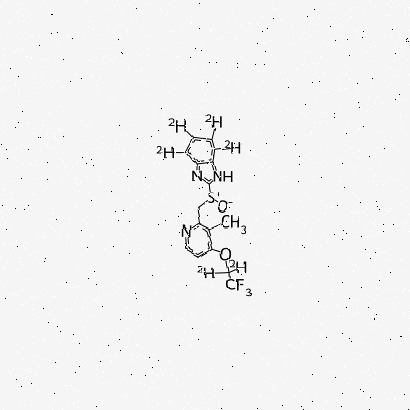 [2H]c1c([2H])c([2H])c2[nH]c([S+]([O-])Cc3nccc(OC([2H])([2H])C(F)(F)F)c3C)nc2c1[2H]